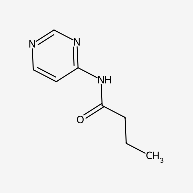 CCCC(=O)Nc1ccncn1